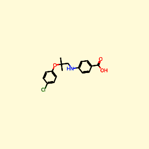 CC(C)(CNc1ccc(C(=O)O)cc1)Oc1ccc(Cl)cc1